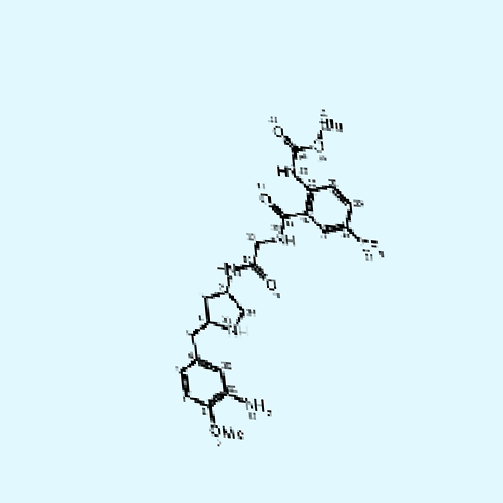 COc1ccc(CC2CC(NC(=O)CNC(=O)c3cc(C(F)(F)F)ccc3NC(=O)OC(C)(C)C)CN2)cc1N